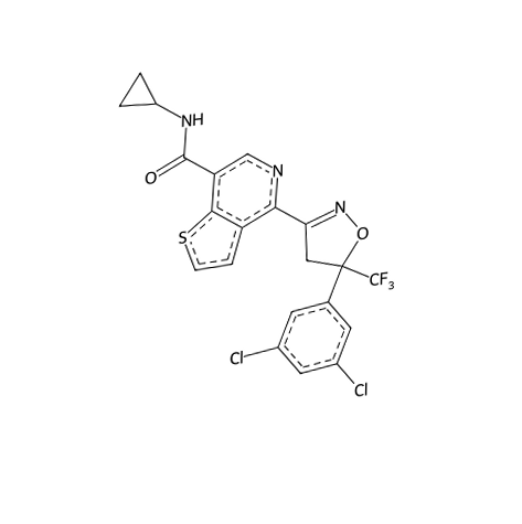 O=C(NC1CC1)c1cnc(C2=NOC(c3cc(Cl)cc(Cl)c3)(C(F)(F)F)C2)c2ccsc12